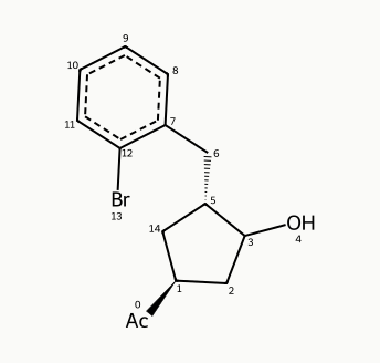 CC(=O)[C@@H]1CC(O)[C@@H](Cc2ccccc2Br)C1